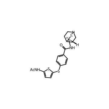 CC(=O)Nc1ccc(Sc2ccc(C(=O)N[C@H]3CN4CCC3CC4)cc2)s1